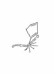 [CH3][Ir]([CH3])([CH3])([CH3])([CH3])(=[C]=O)(=[C]=O)[C]1=CC=CC1